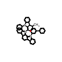 CC1C=CC(n2c3ccccc3c3ccc4c5ccccc5n(-c5cccc(-c6ccccc6)c5)c4c32)=C2C1c1ccccc1N2c1ccccc1